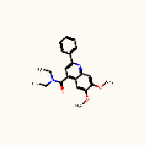 CCN(CC)C(=O)c1cc(-c2ccccc2)nc2cc(OC)c(OC)cc12